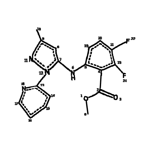 COC(=O)c1c(Nc2cc(C)nn2-c2ccccn2)ccc(F)c1F